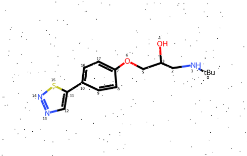 CC(C)(C)NCC(O)COc1ccc(-c2cnns2)cc1